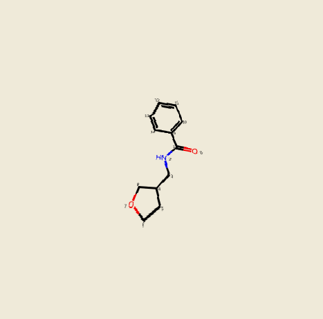 O=C(NCC1CCOC1)c1ccccc1